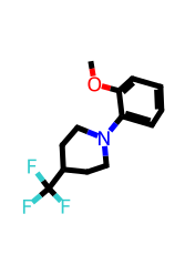 COc1ccccc1N1CCC(C(F)(F)F)CC1